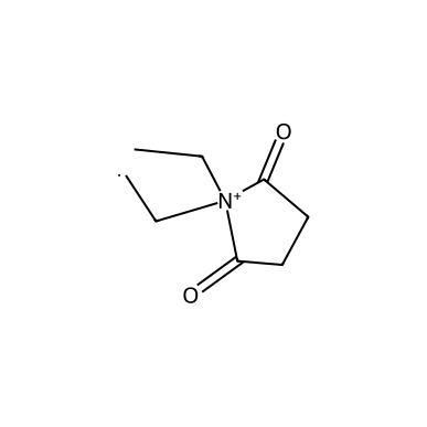 [CH2]C[N+]1(CC)C(=O)CCC1=O